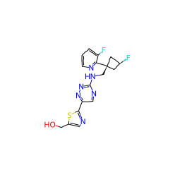 OCc1cnc(-c2cnc(NC[C@]3(c4ncccc4F)C[C@H](F)C3)nn2)s1